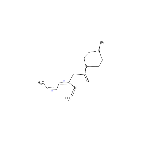 C=N/C(=C\C=C/C)CC(=O)N1CCN(C(C)C)CC1